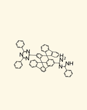 Cc1cccc2c1C1(c3ccccc3-2)c2ccc(/C(N)=N/C(=N)c3ccccc3)cc2C2(C3=C(C=CC=CC3)c3ccccc32)c2ccc(-c3nc(-c4ccccc4)nc(-c4ccccc4)n3)cc21